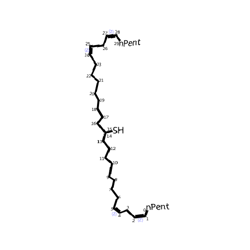 CCCCC/C=C\C/C=C\CCCCCCCCC(S)CCCCCCCC/C=C\C/C=C\CCCCC